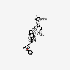 C=C(Br)C[C@@H](CC[C@@]12C[C@H]3O[C@H]4C(O1)[C@H]1O[C@@H](CC(=O)C[C@H]5C(C[C@H]6OC(CCCC)C[C@@H](C)C6=C)O[C@H](C[C@H](C)CO[Si](C)(C)C(C)(C)C)[C@@H]5C)CC[C@@H]1O[C@H]4C3O2)OC(=O)c1ccccc1